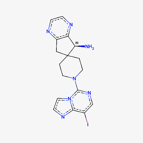 N[C@@H]1c2nccnc2CC12CCN(c1ncc(I)c3nccn13)CC2